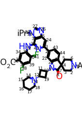 CC(=O)N1CCC2(CC1)C(=O)N([C@H]1C[C@@H](N3CCCCC3)C1)c1cc(-c3cc4ncn(C(C)C)c4c(Nc4cc(C(=O)O)c(F)cc4F)n3)ccc12